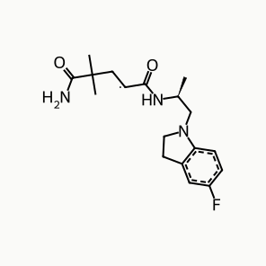 C[C@@H](CN1CCc2cc(F)ccc21)NC(=O)[CH]CC(C)(C)C(N)=O